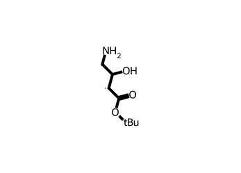 CC(C)(C)OC(=O)[CH]C(O)CN